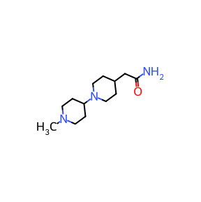 CN1CCC(N2CCC(CC(N)=O)CC2)CC1